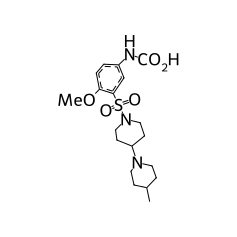 COc1ccc(NC(=O)O)cc1S(=O)(=O)N1CCC(N2CCC(C)CC2)CC1